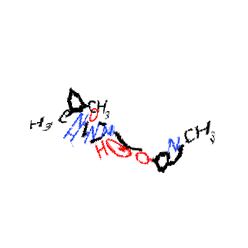 Cc1ccc2ccc(OCC(O)CN3CCN(CC(=O)Nc4c(C)cccc4C)CC3)cc2n1